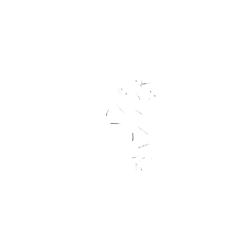 CNS(=O)(=O)c1ccc(-c2oc3ncnc(NCC4CCCO4)c3c2-c2ccccc2)cc1